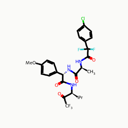 COc1ccc([C@H](NC(=O)[C@H](C)NC(=O)C(F)(F)c2ccc(Cl)cc2)C(=O)N[C@H](C(=O)C(F)(F)F)C(C)C)cc1